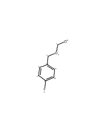 Fc1ccc(COCCl)cc1